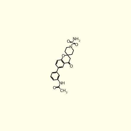 CC(=O)Nc1cccc(-c2ccc3c(c2)C(=O)CC2(CCN(S(N)(=O)=O)CC2)O3)c1